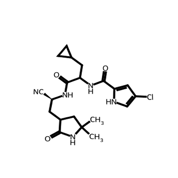 CC1(C)CC(C[C@@H](C#N)NC(=O)C(CC2CC2)NC(=O)c2cc(Cl)c[nH]2)C(=O)N1